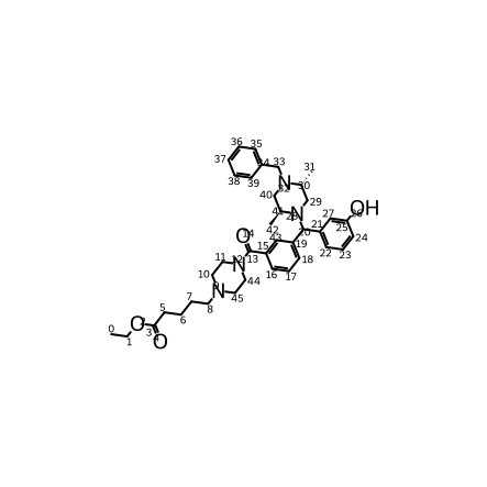 CCOC(=O)CCCCN1CCN(C(=O)c2cccc(C(c3cccc(O)c3)N3C[C@@H](C)N(Cc4ccccc4)C[C@@H]3C)c2)CC1